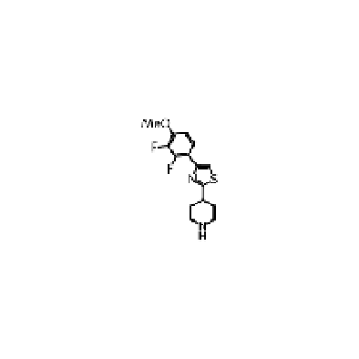 COc1ccc(-c2csc(C3CCNCC3)n2)c(F)c1F